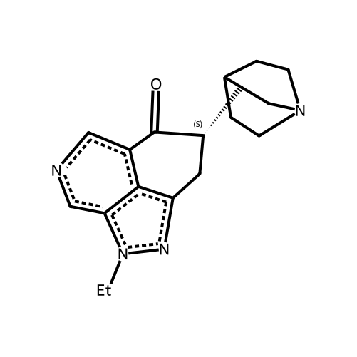 CCn1nc2c3c(cncc31)C(=O)[C@H](C1CN3CCC1CC3)C2